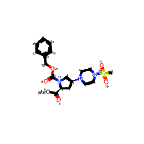 COC(=O)[C@@H]1C[C@H](N2CCN(S(C)(=O)=O)CC2)CN1C(=O)OCc1ccccc1